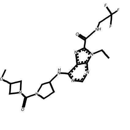 CCn1c(C(=O)NCC(F)(F)F)nc2c(NC3CCN(C(=O)N4CC(OC)C4)C3)ncnc21